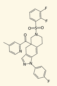 Cc1ccnc(C(=O)C23Cc4cnn(-c5ccc(F)cc5)c4C=C2CCN(S(=O)(=O)c2cccc(F)c2F)C3)c1